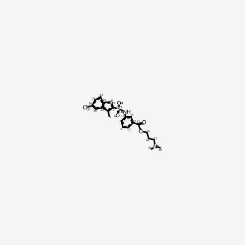 Cc1c(S(=O)(=O)Nc2cccc(C(=O)OCCCN(C)C)c2)sc2ccc(Cl)cc12